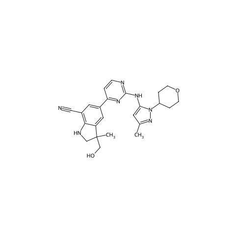 Cc1cc(Nc2nccc(-c3cc(C#N)c4c(c3)C(C)(CO)CN4)n2)n(C2CCOCC2)n1